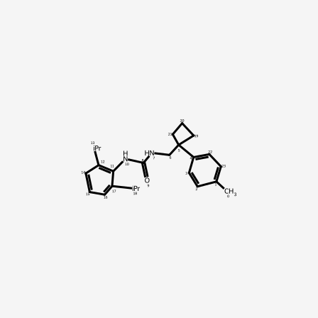 Cc1ccc(C2(CNC(=O)Nc3c(C(C)C)cccc3C(C)C)CCC2)cc1